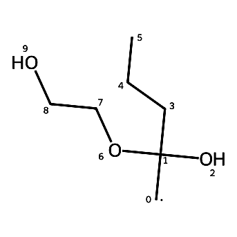 [CH2]C(O)(CCC)OCCO